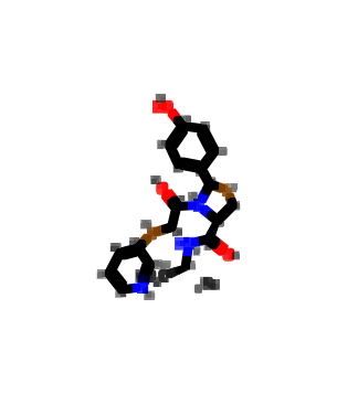 CC[C@H](C)[C@H](NC(=O)[C@@H]1CSC(c2ccc(O)cc2)N1C(=O)CSc1cccnc1)C(=O)O